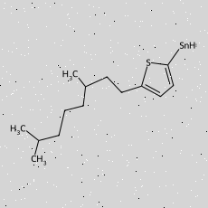 CC(C)CCCC(C)CCc1cc[c]([SnH])s1